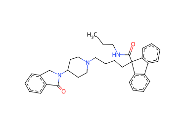 CCCNC(=O)C1(CCCCN2CCC(N3Cc4ccccc4C3=O)CC2)c2ccccc2-c2ccccc21